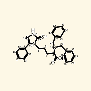 O=C(O)C(CCCn1c(-c2ccccc2)n[nH]c1=S)N(Cc1ccccc1)Cc1ccccc1